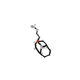 CC(C)(C)OCCCN1C2CCCC1COC2